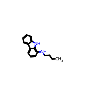 CCCCNc1cccc2c1[nH]c1ccccc12